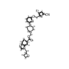 N#Cc1cc(F)c(COc2cccc(N3CCN(COC(=O)c4ccc5ncn(CC6CCO6)c5c4)CC3)n2)s1